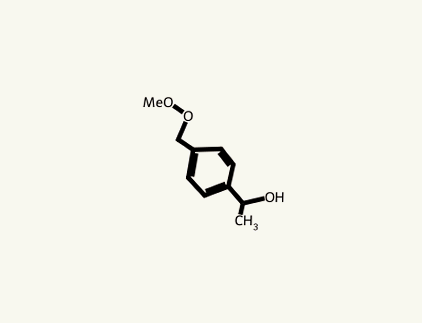 COOCc1ccc(C(C)O)cc1